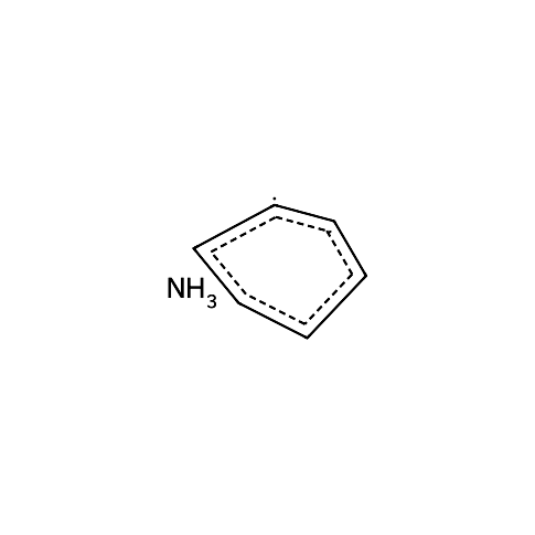 N.[c]1ccccc1